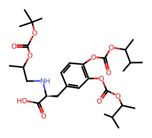 CC(CN[C@@H](Cc1ccc(OC(=O)OC(C)C(C)C)c(OC(=O)OC(C)C(C)C)c1)C(=O)O)OC(=O)OC(C)(C)C